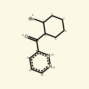 CCC(C)C1CCCCC1C(=O)c1cccnn1